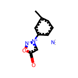 Cc1cccc(-[n+]2cc(=O)o[n-]2)c1.[N]